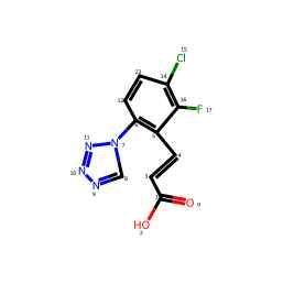 O=C(O)/C=C/c1c(-n2cnnn2)ccc(Cl)c1F